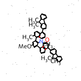 COc1cc(-c2ccccc2C)c(N2c3ccc(-c4ccc5c(c4)C(C)(C)c4ccccc4-5)cc3Oc3cc(-c4ccc5c(c4)C(C)(C)c4ccccc4-5)ccc32)c(-c2ccccc2C)c1